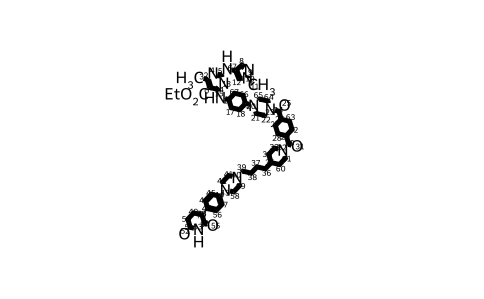 CCOC(=O)c1c(C)nc(Nc2cnn(C)c2)nc1NC1CCC(N2CCN(C(=O)C3CCC(C(=O)N4CCC(CCCCN5CCN(c6ccc([C@H]7CCC(=O)NC7=O)cc6)CC5)CC4)CC3)CC2)CC1